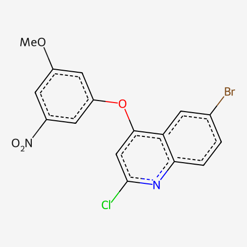 COc1cc(Oc2cc(Cl)nc3ccc(Br)cc23)cc([N+](=O)[O-])c1